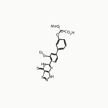 CCOc1cc(-c2cccc(O[C@H](OC)C(=O)O)c2)ccc1-c1nc2[nH]nnc2c(=O)[nH]1